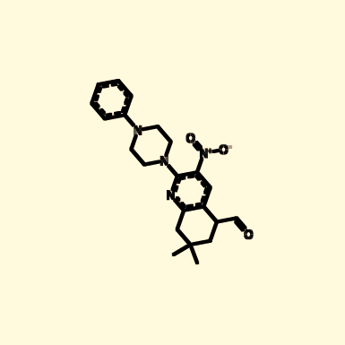 CC1(C)Cc2nc(N3CCN(c4ccccc4)CC3)c([N+](=O)[O-])cc2C(C=O)C1